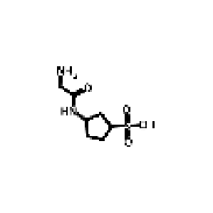 NCC(=O)NC1CCC(S(=O)(=O)O)C1